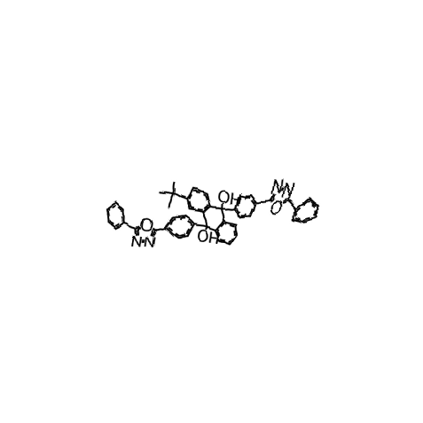 CC(C)(C)c1ccc2c(c1)C(O)(c1ccc(-c3nnc(-c4ccccc4)o3)cc1)c1ccccc1C2(O)c1ccc(-c2nnc(-c3ccccc3)o2)cc1